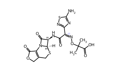 CC(C)(O/N=C(\C(=O)N[C@@H]1C(=O)N2C3=C(COC3=O)CS[C@H]12)c1nsc(N)n1)C(=O)O